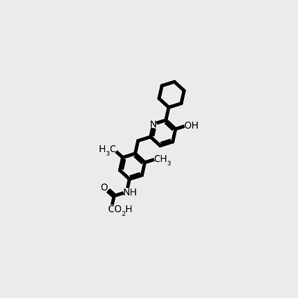 Cc1cc(NC(=O)C(=O)O)cc(C)c1Cc1ccc(O)c(C2CCCCC2)n1